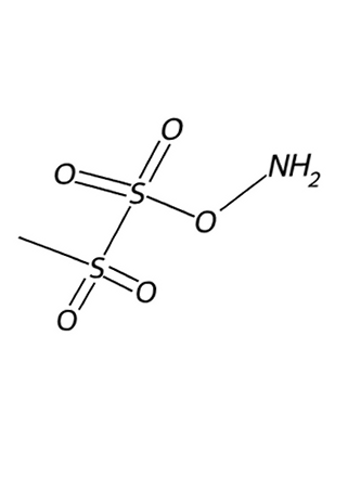 CS(=O)(=O)S(=O)(=O)ON